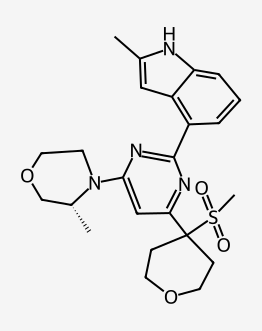 Cc1cc2c(-c3nc(N4CCOC[C@H]4C)cc(C4(S(C)(=O)=O)CCOCC4)n3)cccc2[nH]1